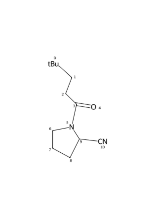 CC(C)(C)CCC(=O)N1CCCC1C#N